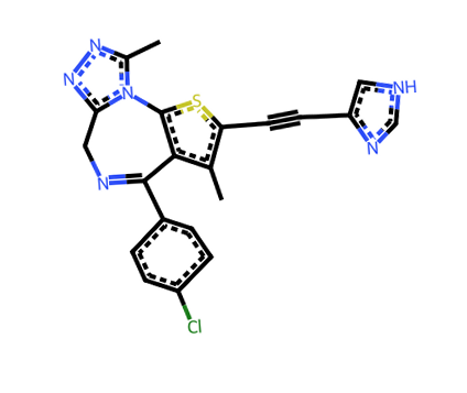 Cc1c(C#Cc2c[nH]cn2)sc2c1C(c1ccc(Cl)cc1)=NCc1nnc(C)n1-2